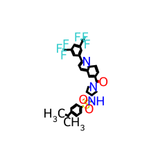 CC(C)c1ccc(S(=O)(=O)NC2CCN(C(=O)c3ccc4nc(-c5cc(C(F)(F)F)cc(C(F)(F)F)c5)ccc4c3)C2)cc1